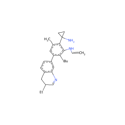 C=CNc1c(C(C)CC)c(-c2ccc3c(c2)N=CC(CC)C3)cc(C)c1C1(N)CC1